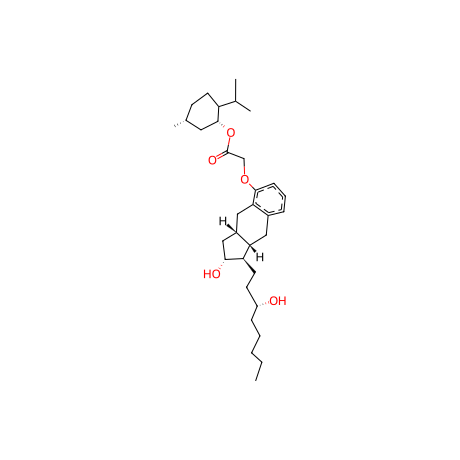 CCCCC[C@@H](O)CC[C@@H]1[C@H]2Cc3cccc(OCC(=O)O[C@@H]4C[C@H](C)CCC4C(C)C)c3C[C@H]2C[C@H]1O